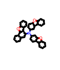 c1ccc2c(c1)cc(N(c1ccc3c(c1)oc1ccccc13)c1ccc3oc4ccccc4c3c1)c1c3ccccc3oc21